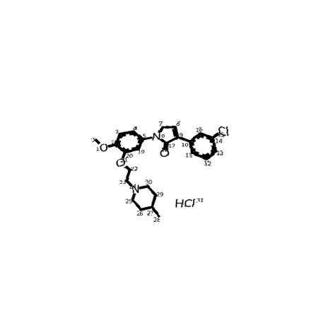 COc1ccc(N2CC=C(c3cccc(Cl)c3)C2=O)cc1OCCN1CCC(C)CC1.Cl